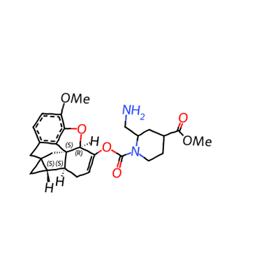 COC(=O)C1CCN(C(=O)OC2=CC[C@H]3[C@@H]4CC45Cc4ccc(OC)c6c4[C@@]3(C5)[C@H]2O6)C(CN)C1